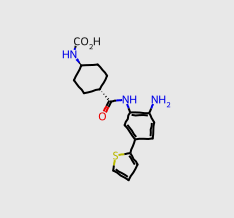 Nc1ccc(-c2cccs2)cc1NC(=O)[C@H]1CC[C@H](NC(=O)O)CC1